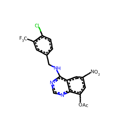 CC(=O)Oc1cc([N+](=O)[O-])cc2c(NCc3ccc(Cl)c(C(F)(F)F)c3)ncnc12